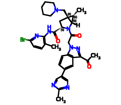 CC(=O)c1nn(CC(=O)N2[C@H]3[C@@H](C)[C@@]3(CN3CCCCC3)C[C@H]2C(=O)Nc2nc(Br)ccc2C)c2ccc(-c3cnc(C)nc3)cc12